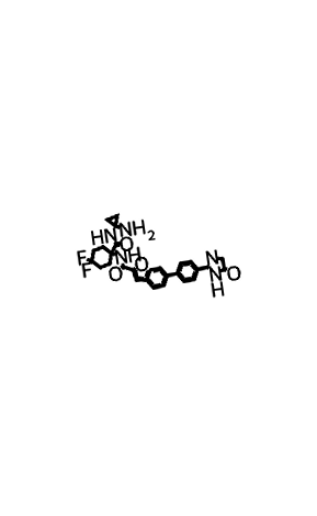 NC1(NC(=O)C2(NC(=O)c3cc4ccc(-c5ccc(C6=NCC(=O)N6)cc5)cc4o3)CCC(F)(F)CC2)CC1